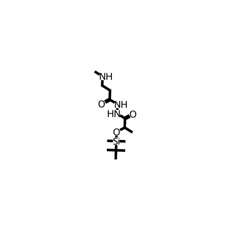 CNCCC(=O)NNC(=O)C(C)O[Si](C)(C)C(C)(C)C